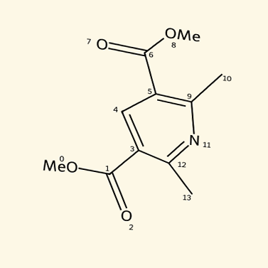 COC(=O)c1cc(C(=O)OC)c(C)nc1C